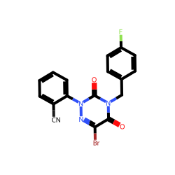 N#Cc1ccccc1-n1nc(Br)c(=O)n(Cc2ccc(F)cc2)c1=O